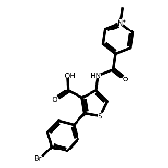 C[n+]1ccc(C(=O)Nc2csc(-c3ccc(Br)cc3)c2C(=O)O)cc1